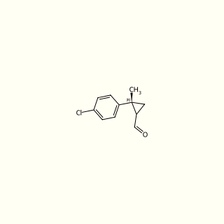 C[C@@]1(c2ccc(Cl)cc2)CC1C=O